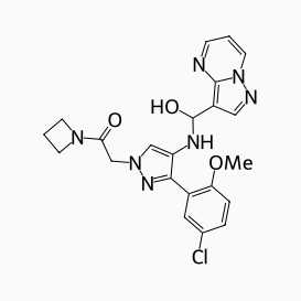 COc1ccc(Cl)cc1-c1nn(CC(=O)N2CCC2)cc1NC(O)c1cnn2cccnc12